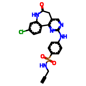 C#CCNS(=O)(=O)c1ccc(Nc2ncc3c(n2)-c2ccc(Cl)cc2NC(=O)C3)cc1